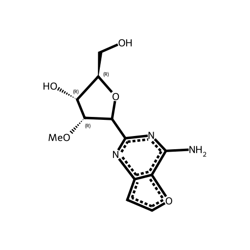 CO[C@H]1C(c2nc(N)c3occc3n2)O[C@H](CO)[C@H]1O